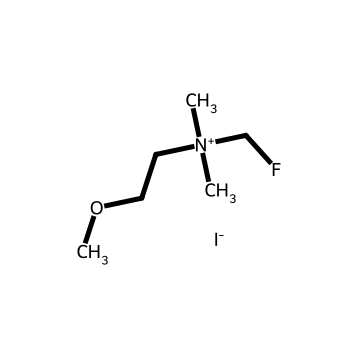 COCC[N+](C)(C)CF.[I-]